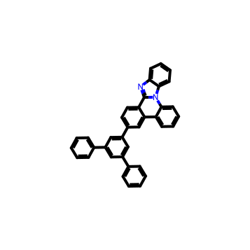 c1ccc(-c2cc(-c3ccccc3)cc(-c3ccc4c(c3)c3ccccc3n3c5ccccc5nc43)c2)cc1